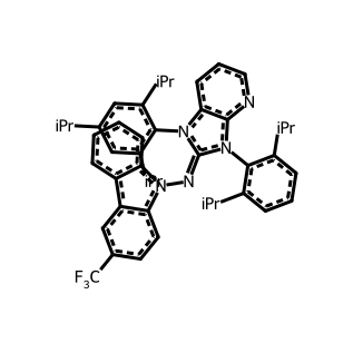 CC(C)c1cc(C(C)C)c(-n2/c(=N\n3c4ccccc4c4cc(C(F)(F)F)ccc43)n(-c3c(C(C)C)cccc3C(C)C)c3ncccc32)c(C(C)C)c1